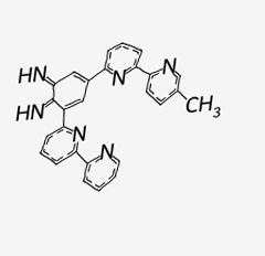 Cc1ccc(-c2cccc(C3=CC(=N)C(=N)C(c4cccc(-c5ccccn5)n4)=C3)n2)nc1